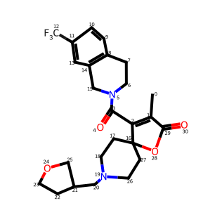 CC1=C(C(=O)N2CCc3ccc(C(F)(F)F)cc3C2)C2(CCN(CC3CCOC3)CC2)OC1=O